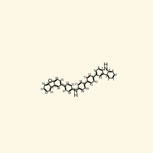 c1ccc2c(c1)[nH]c1ccc(-c3ccc(-c4ccc(Nc5ccc(-c6ccc7oc8ccccc8c7c6)cc5)cc4)cc3)cc12